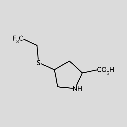 O=C(O)C1CC(SCC(F)(F)F)CN1